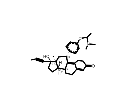 CC#C[C@]1(O)CC[C@H]2[C@@H]3CCC4=CC(=O)CCC4=C3[C@@H](c3ccc(OC(C)N(C)C)cc3)C[C@@]21C